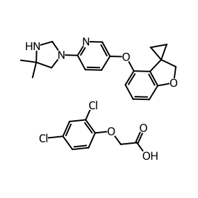 CC1(C)CN(c2ccc(Oc3cccc4c3C3(CC3)CO4)cn2)CN1.O=C(O)COc1ccc(Cl)cc1Cl